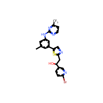 Cc1cc(Nc2nccc(C(F)(F)F)n2)cc(-c2cnc(CC(O)c3ccc(Br)nc3)s2)c1